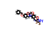 O=C1NC(=S)S/C1=C/c1ccc2c(c1)N(Cc1ccc(OCc3ccccc3)cc1)C(=O)CO2